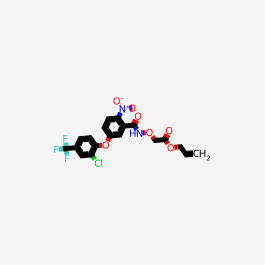 C=CCOC(=O)CONC(=O)c1cc(Oc2ccc(C(F)(F)F)cc2Cl)ccc1[N+](=O)[O-]